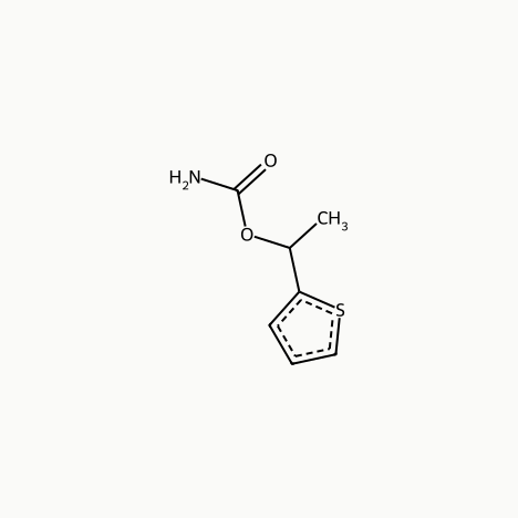 CC(OC(N)=O)c1cccs1